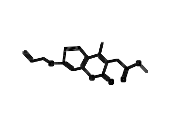 C=CCOc1ccc2c(C)c(CC(=O)OC)c(=O)oc2c1